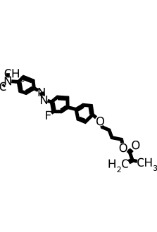 C=C(C)C(=O)OCCCCOc1ccc(-c2ccc(/N=N/c3ccc(N(C)C)cc3)c(F)c2)cc1